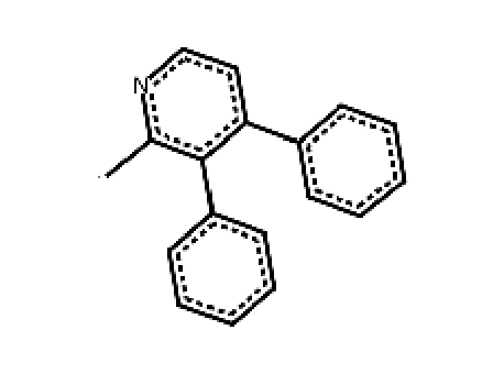 [CH2]c1nccc(-c2ccccc2)c1-c1ccccc1